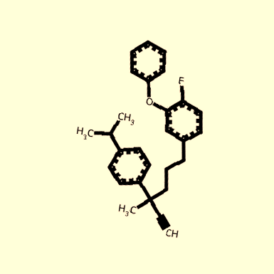 C#CC(C)(CCCc1ccc(F)c(Oc2ccccc2)c1)c1ccc(C(C)C)cc1